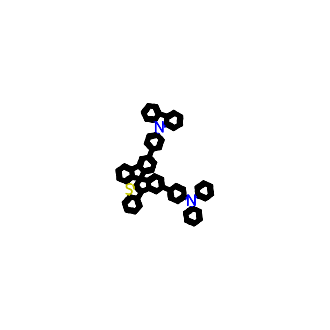 c1ccc(N(c2ccccc2)c2ccc(-c3ccc4c(c3)-c3c(sc5ccccc35)C43c4ccccc4-c4cc(-c5ccc(-n6c7ccccc7c7ccccc76)cc5)ccc43)cc2)cc1